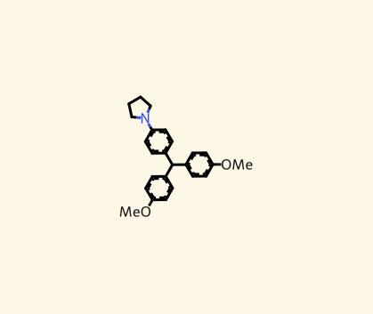 COc1ccc(C(c2ccc(OC)cc2)c2ccc(N3CCCC3)cc2)cc1